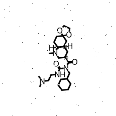 CN(C)CCNC(=O)N(CC1CCCCC1)C(=O)[C@@H]1C[C@@H]2CC3(CC[C@H]2N(C)C1)OCCO3